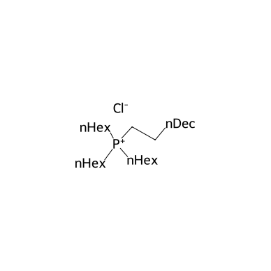 CCCCCCCCCCCC[P+](CCCCCC)(CCCCCC)CCCCCC.[Cl-]